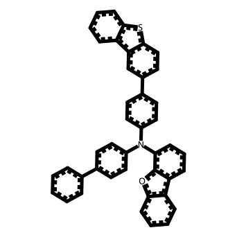 c1ccc(-c2ccc(N(c3ccc(-c4ccc5sc6ccccc6c5c4)cc3)c3cccc4c3oc3ccccc34)cc2)cc1